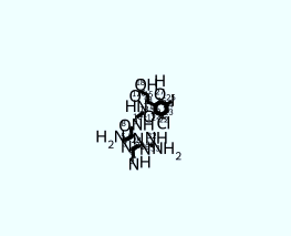 N#Cc1nc(N)c(C(=O)NCC(=O)NC(CC(=O)O)c2cc(Cl)cc(I)c2O)nc1NC(=N)N